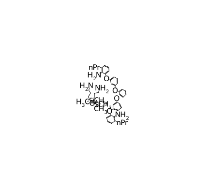 CCCc1cccc(Oc2cccc(Oc3ccccc3Oc3cccc(Oc4cccc(CCC)c4N)c3)c2)c1N.C[Si](C)(C)O[Si](C)(CCCN)CCCN